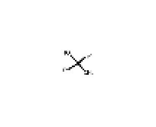 [CH2]CC(C)(O)CCC